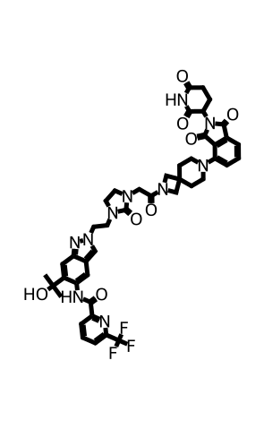 CC(C)(O)c1cc2nn(CCN3CCN(CC(=O)N4CC5(CCN(c6cccc7c6C(=O)N(C6CCC(=O)NC6=O)C7=O)CC5)C4)C3=O)cc2cc1NC(=O)c1cccc(C(F)(F)F)n1